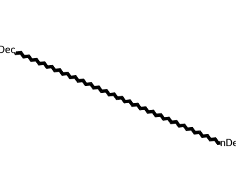 CCCCCCCCCCCCCCCCCCCCCCCCCCCCCCCCCCCCCCCCCCCCCCCCCCCCCCCCCCCCCCCCCCCCCCCCC